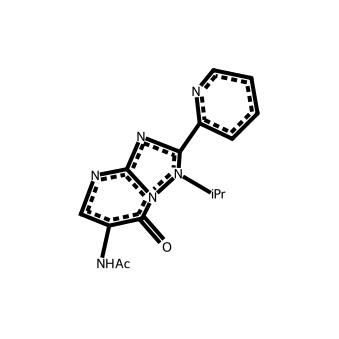 CC(=O)Nc1cnc2nc(-c3ccccn3)n(C(C)C)n2c1=O